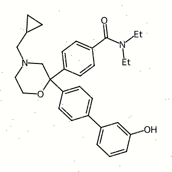 CCN(CC)C(=O)c1ccc(C2(c3ccc(-c4cccc(O)c4)cc3)CN(CC3CC3)CCO2)cc1